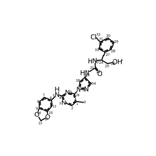 Cc1cnc(Nc2ccc3c(c2)OCO3)nc1-n1cc(NC(=O)NC(CO)c2cccc(Cl)c2)cn1